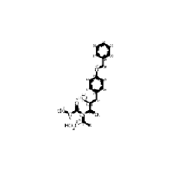 C[C@H](C(=O)O)N(C(=O)OC(C)(C)C)C(=O)[C@@H](N)Cc1ccc(OCc2ccccc2)cc1